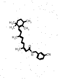 CC1=C(/C=C/C(C)=C/C=C/C(C)=C\C(=O)NCc2cccc(C#N)c2)C(C)(C)CCC1C